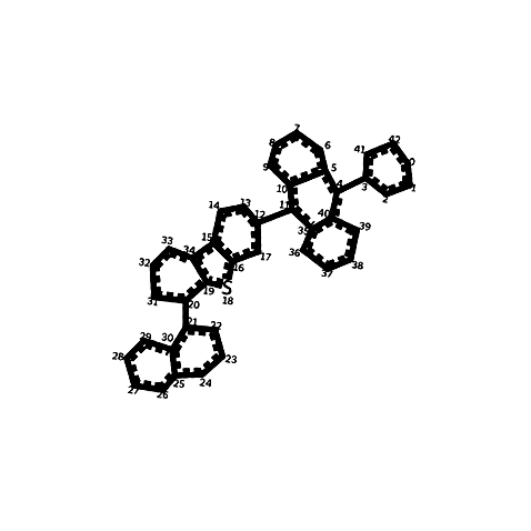 c1ccc(-c2c3ccccc3c(-c3ccc4c(c3)sc3c(-c5cccc6ccccc56)cccc34)c3ccccc23)cc1